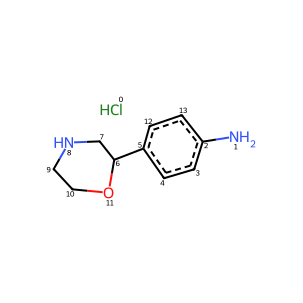 Cl.Nc1ccc(C2CNCCO2)cc1